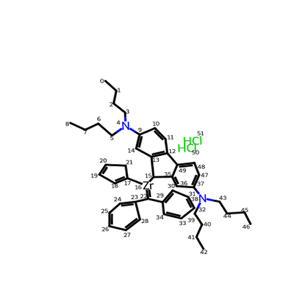 CCCCN(CCCC)c1ccc2c(c1)[CH]([Zr]([C]1=CC=CC1)=[C](c1ccccc1)c1ccccc1)c1cc(N(CCCC)CCCC)ccc1-2.Cl.Cl